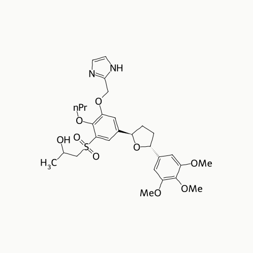 CCCOc1c(OCc2ncc[nH]2)cc([C@H]2CC[C@H](c3cc(OC)c(OC)c(OC)c3)O2)cc1S(=O)(=O)CC(C)O